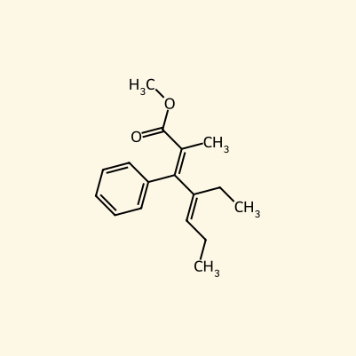 CCC=C(CC)C(=C(C)C(=O)OC)c1ccccc1